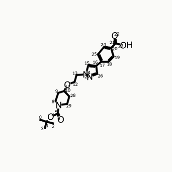 CC(C)(C)OC(=O)N1CCC(OCCn2cc(-c3ccc(C(=O)O)cc3)cn2)CC1